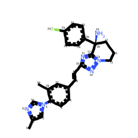 Cc1cn(-c2ccc(/C=C/c3nc4n(n3)CCC[C@@]4(N)c3ccc(F)cc3)cc2C)cn1